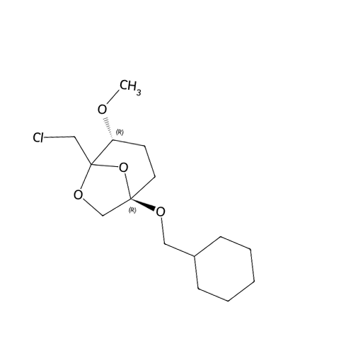 CO[C@@H]1CC[C@]2(OCC3CCCCC3)COC1(CCl)O2